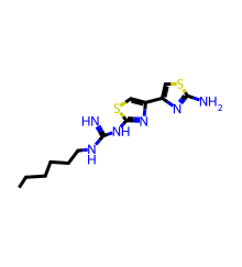 CCCCCCNC(=N)Nc1nc(-c2csc(N)n2)cs1